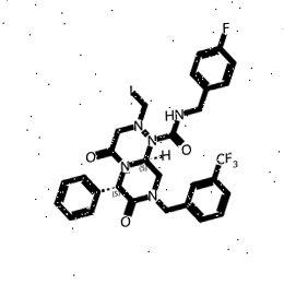 O=C1[C@H](c2ccccc2)N2C(=O)CN(CI)N(C(=O)NCc3ccc(F)cc3)[C@H]2CN1Cc1cccc(C(F)(F)F)c1